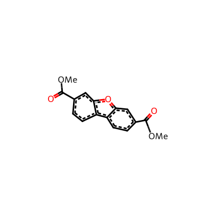 COC(=O)c1ccc2c(c1)oc1cc(C(=O)OC)ccc12